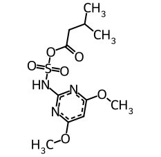 COc1cc(OC)nc(NS(=O)(=O)OC(=O)CC(C)C)n1